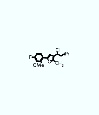 COc1cc(F)ccc1-c1cc(C(Cl)CC(C)C)c(C)o1